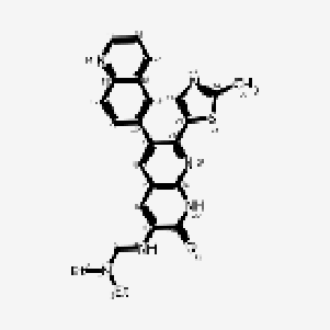 CCN(CC)CNc1cc2cc(-c3ccc4ncccc4c3)c(-c3cnc(C)s3)nc2[nH]c1=O